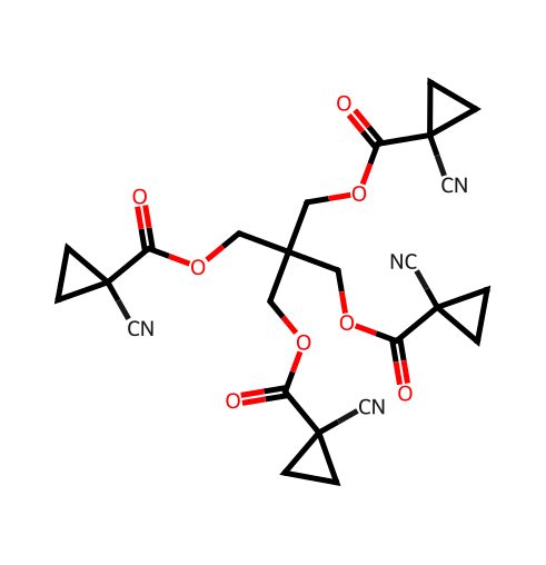 N#CC1(C(=O)OCC(COC(=O)C2(C#N)CC2)(COC(=O)C2(C#N)CC2)COC(=O)C2(C#N)CC2)CC1